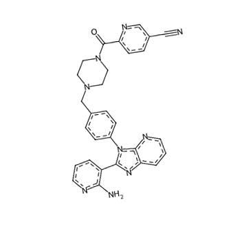 N#Cc1ccc(C(=O)N2CCN(Cc3ccc(-n4c(-c5cccnc5N)nc5cccnc54)cc3)CC2)nc1